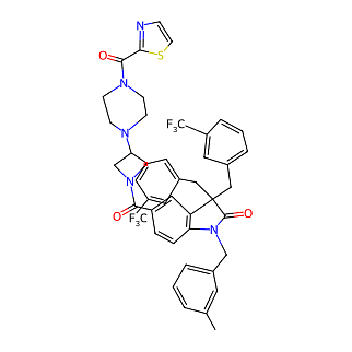 Cc1cccc(CN2C(=O)C(Cc3cccc(C(F)(F)F)c3)(Cc3cccc(C(F)(F)F)c3)c3cc(C(=O)N4CC(N5CCN(C(=O)c6nccs6)CC5)C4)ccc32)c1